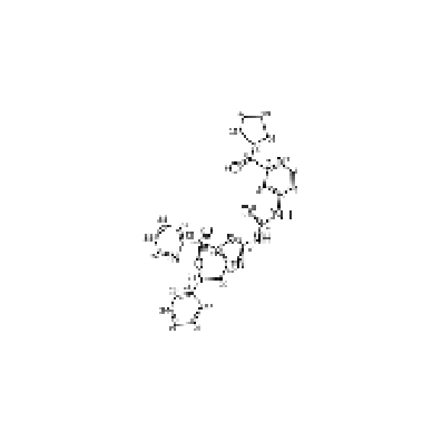 O=C(Nc1ccnc(C(=O)C2CCCC2)c1)Nc1nc(CSc2ccccc2)c(S(=O)(=O)c2ccccn2)s1